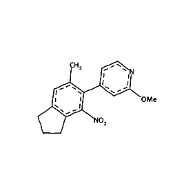 COc1cc(-c2c(C)cc3c(c2[N+](=O)[O-])CCC3)ccn1